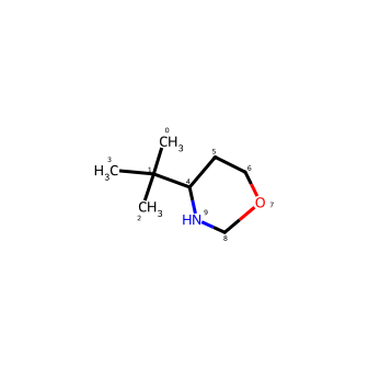 CC(C)(C)C1CCOCN1